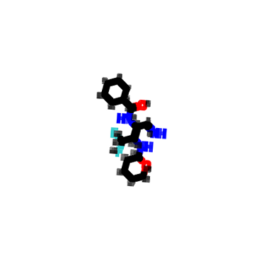 N=C/C(NC(=O)C1CCCCC1)=C(\NC1CCCCO1)C(F)F